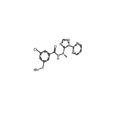 C[C@@H](NC(=O)c1cc(Cl)cc(SC(C)(C)C)c1)c1ncnn1-c1ncccn1